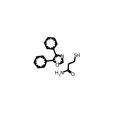 NC(=O)CCS.c1ccc(-c2ncoc2-c2ccccc2)cc1